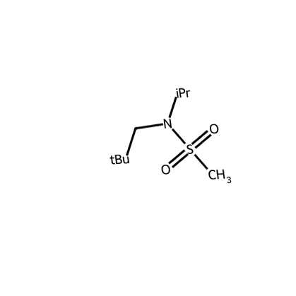 CC(C)N(CC(C)(C)C)S(C)(=O)=O